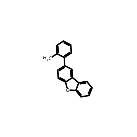 Cc1ccccc1-c1ccc2oc3ccccc3c2c1